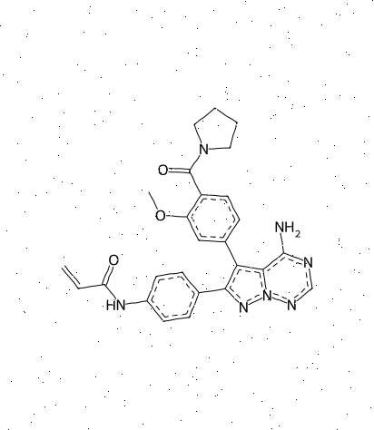 C=CC(=O)Nc1ccc(-c2nn3ncnc(N)c3c2-c2ccc(C(=O)N3CCCC3)c(OC)c2)cc1